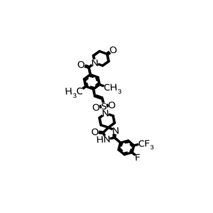 Cc1cc(C(=O)N2CCC(=O)CC2)cc(C)c1/C=C/S(=O)(=O)N1CCC2(CC1)N=C(c1ccc(F)c(C(F)(F)F)c1)NC2=O